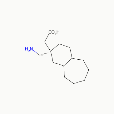 NC[C@]1(CC(=O)O)CCC2CCCCCC2C1